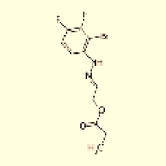 CCC(=O)OCC=NNc1ccc(F)c(F)c1Br